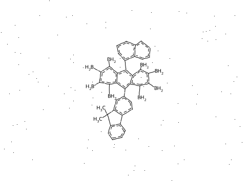 Bc1c(B)c(B)c2c(-c3cccc4ccccc34)c3c(B)c(B)c(B)c(B)c3c(-c3ccc4c(c3)C(C)(C)c3ccccc3-4)c2c1B